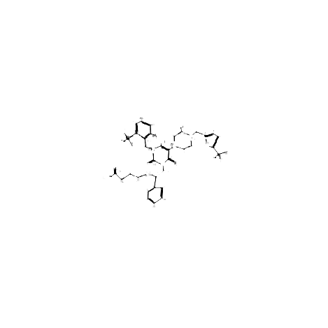 Cc1c(N2CCN(Cc3ccc(C(F)(F)F)o3)C(C)C2)c(=O)n(C[C@H](NCCCC(=O)O)c2ccccc2)c(=O)n1Cc1c(F)cccc1C(F)(F)F